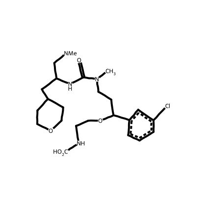 CNCC(CC1CCOCC1)NC(=O)N(C)CCC(OCCNC(=O)O)c1cccc(Cl)c1